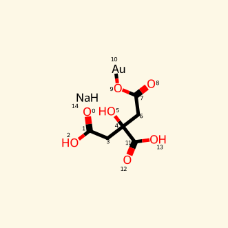 O=C(O)CC(O)(CC(=O)[O][Au])C(=O)O.[NaH]